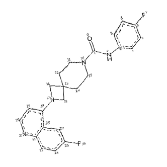 O=C(Nc1ccc(F)cc1)N1CCC2(CC1)CN(c1ccnc3ccc(F)cc13)C2